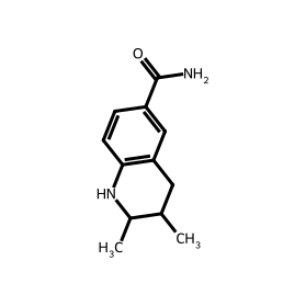 CC1Cc2cc(C(N)=O)ccc2NC1C